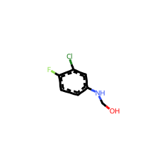 OCNc1ccc(F)c(Cl)c1